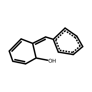 OC1C=CC=CC1=Cc1ccccc1